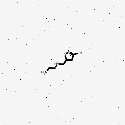 CC1=NOC(CNCCN)C1